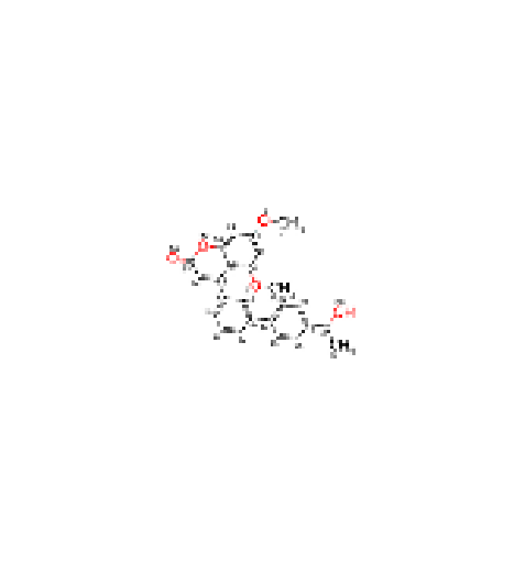 COc1cc(OC)c2c(-c3cccc(-c4ccc(C(C)O)cc4)c3)cc(=O)oc2c1